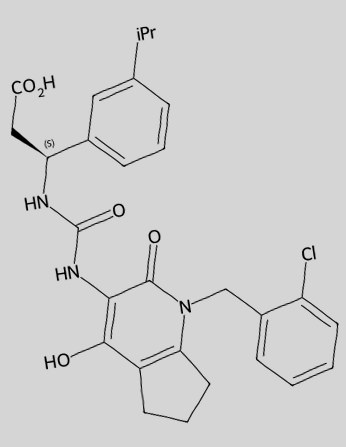 CC(C)c1cccc([C@H](CC(=O)O)NC(=O)Nc2c(O)c3c(n(Cc4ccccc4Cl)c2=O)CCC3)c1